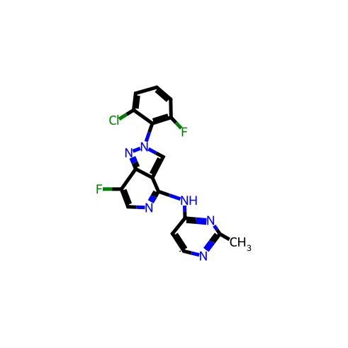 Cc1n[c]cc(Nc2ncc(F)c3nn(-c4c(F)cccc4Cl)cc23)n1